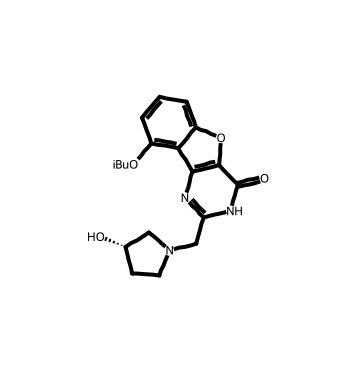 CC(C)COc1cccc2oc3c(=O)[nH]c(CN4CC[C@H](O)C4)nc3c12